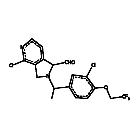 CC(c1ccc(OCC(F)(F)F)c(Cl)c1)N1Cc2c(ccnc2Cl)C1C=O